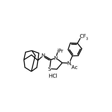 CC(=O)N(c1ccc(C(F)(F)F)cc1)C1CSC(=NC23CC4CC(CC(C4)C2)C3)N1C(C)C.Cl